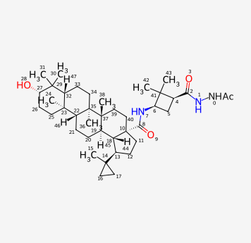 CC(=O)NNC(=O)[C@H]1C[C@@H](NC(=O)[C@]23CC[C@@H](C4(C)CC4)[C@@H]2[C@H]2CC[C@@H]4[C@@]5(C)CC[C@H](O)C(C)(C)[C@@H]5CC[C@@]4(C)[C@]2(C)CC3)C1(C)C